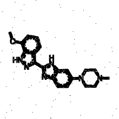 COc1cccc2c(-c3nc4ccc(N5CCN(C)CC5)cc4[nH]3)n[nH]c12